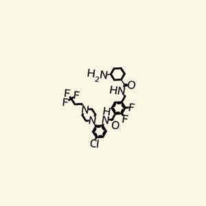 N[C@H]1CCC[C@@H](C(=O)NCc2ccc(C(=O)Nc3ccc(Cl)cc3N3CCN(CCC(F)(F)F)CC3)c(F)c2F)C1